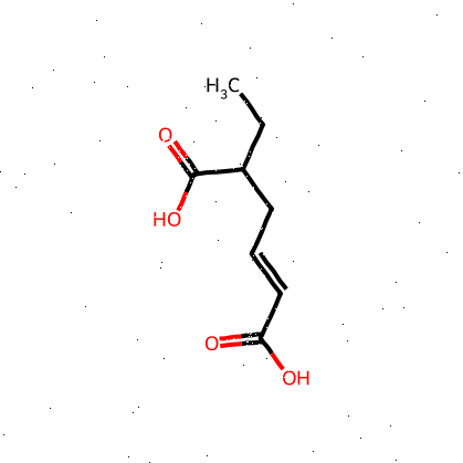 CCC(CC=CC(=O)O)C(=O)O